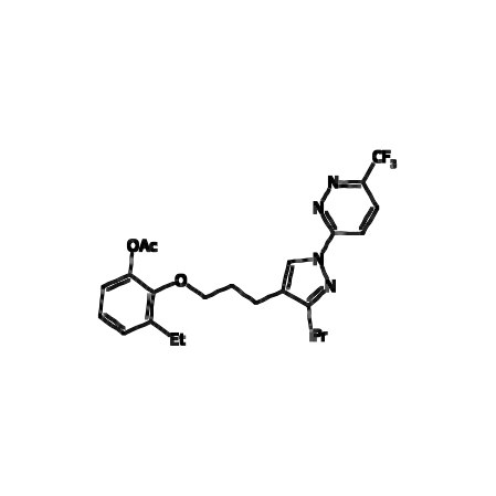 CCc1cccc(OC(C)=O)c1OCCCc1cn(-c2ccc(C(F)(F)F)nn2)nc1C(C)C